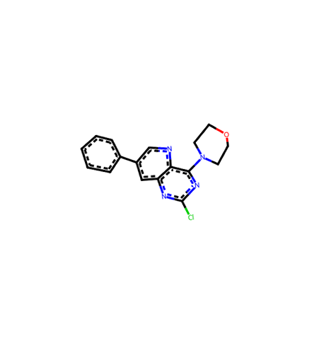 Clc1nc(N2CCOCC2)c2ncc(-c3ccccc3)cc2n1